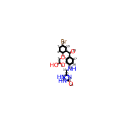 O=C(O)COc1ccc(Br)cc1C(=O)c1ccc(NCc2nc(=O)[nH][nH]2)cc1